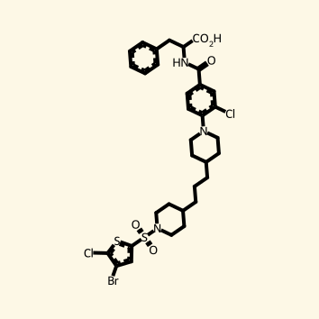 O=C(NC(Cc1ccccc1)C(=O)O)c1ccc(N2CCC(CCCC3CCN(S(=O)(=O)c4cc(Br)c(Cl)s4)CC3)CC2)c(Cl)c1